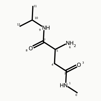 CNC(=O)CC(N)C(=O)NC(C)C